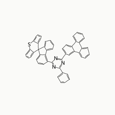 c1ccc(-c2nc(-c3ccc4c5ccccc5c5ccccc5c4c3)nc(-c3cccc4c3-c3ccccc3C43c4ccccc4Sc4ccccc43)n2)cc1